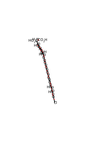 N[C@@H](C[C@H](CCCC(=O)Nc1ccc(/N=N/c2ccc(NC(=O)CNC(=O)CCOCCOCCOCCOCCOCCOCCOCCOCCOCCOCCOCCOCCNC(=O)CCCC(=O)NCCOCCOCCCCCCCl)cc2)cc1)C(=O)O)C(=O)O